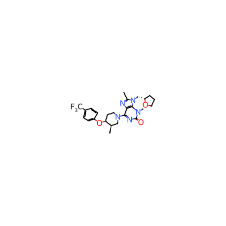 Cc1nc2c(N3CC[C@H](Oc4ccc(C(F)(F)F)cc4)[C@H](C)C3)nc(=O)n(C)c2n1C[C@@H]1CCCO1